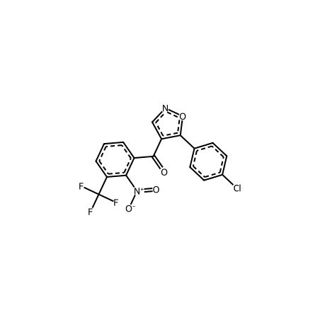 O=C(c1cnoc1-c1ccc(Cl)cc1)c1cccc(C(F)(F)F)c1[N+](=O)[O-]